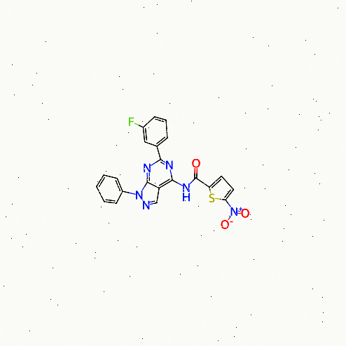 O=C(Nc1nc(-c2cccc(F)c2)nc2c1cnn2-c1ccccc1)c1ccc([N+](=O)[O-])s1